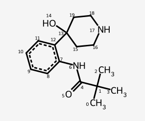 CC(C)(C)C(=O)Nc1ccccc1C1(O)CCNCC1